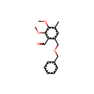 COc1c(C)cc(COCc2ccccc2)c(C=O)c1OC